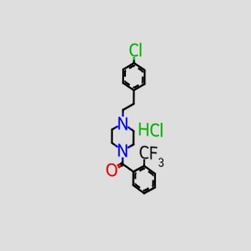 Cl.O=C(c1ccccc1C(F)(F)F)N1CCN(CCc2ccc(Cl)cc2)CC1